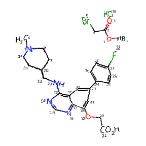 CC(C)(C)OC(=O)CBr.CN1CCC(CNc2ncnc3c(OCC(=O)O)cc(-c4ccc(F)cc4)cc23)CC1.Cl